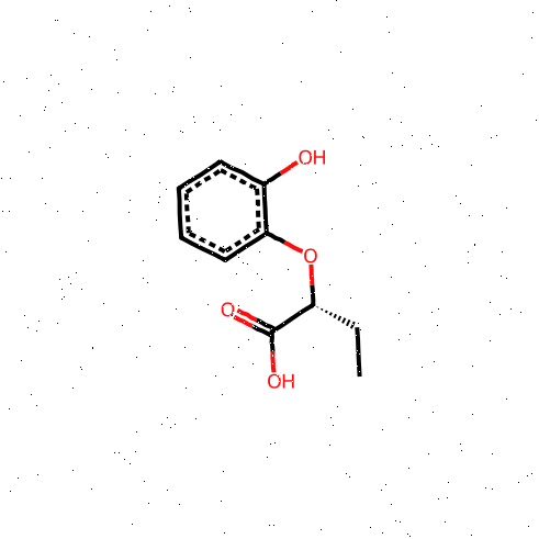 CC[C@@H](Oc1ccccc1O)C(=O)O